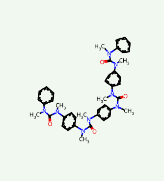 CN(C(=O)N(C)c1ccc(N(C)C(=O)N(C)c2ccc(N(C)C(=O)N(C)c3ccc(N(C)C(=O)N(C)c4ccccc4)cc3)cc2)cc1)c1ccccc1